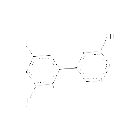 Cc1cncc(-c2cc(F)cc(F)c2)c1